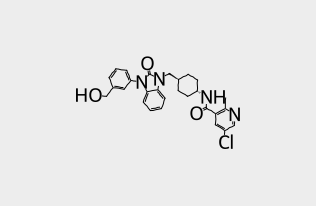 Cc1ncc(Cl)cc1C(=O)N[C@H]1CC[C@H](Cn2c(=O)n(-c3cccc(CO)c3)c3ccccc32)CC1